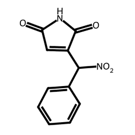 O=C1C=C(C(c2ccccc2)[N+](=O)[O-])C(=O)N1